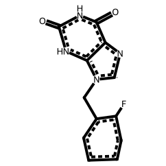 O=c1[nH]c(=O)c2n[c]n(Cc3ccccc3F)c2[nH]1